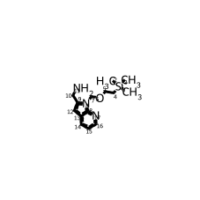 C[Si](C)(C)CCOCn1c(CN)cc2cccnc21